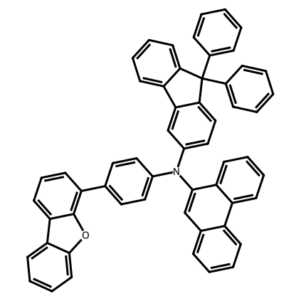 c1ccc(C2(c3ccccc3)c3ccccc3-c3cc(N(c4ccc(-c5cccc6c5oc5ccccc56)cc4)c4cc5ccccc5c5ccccc45)ccc32)cc1